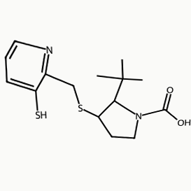 CC(C)(C)C1C(SCc2ncccc2S)CCN1C(=O)O